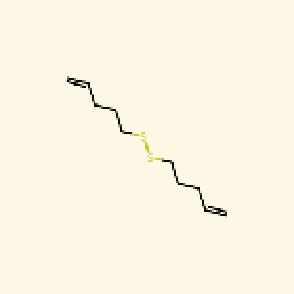 C=CCCCSSCCCC=C